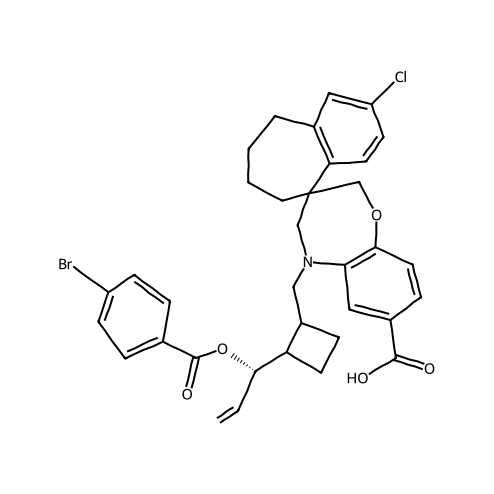 C=C[C@H](OC(=O)c1ccc(Br)cc1)C1CCC1CN1CC2(CCCCc3cc(Cl)ccc32)COc2ccc(C(=O)O)cc21